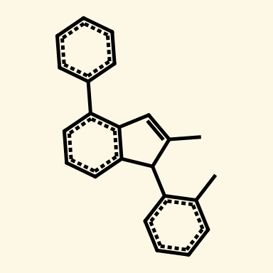 CC1=Cc2c(-c3ccccc3)cccc2C1c1ccccc1C